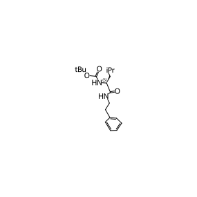 CC(C)C[C@H](NC(=O)OC(C)(C)C)C(=O)NCCc1ccccc1